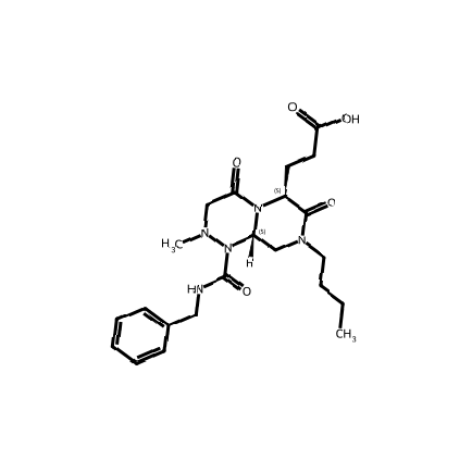 CCCCN1C[C@H]2N(C(=O)CN(C)N2C(=O)NCc2ccccc2)[C@@H](CCC(=O)O)C1=O